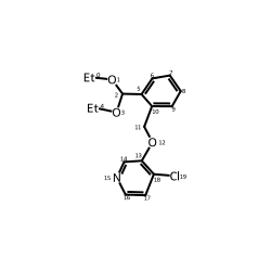 CCOC(OCC)c1ccccc1COc1cnccc1Cl